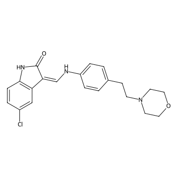 O=C1Nc2ccc(Cl)cc2/C1=C/Nc1ccc(CCN2CCOCC2)cc1